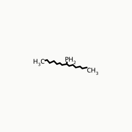 CCCCCCCC(P)CCCCCCC